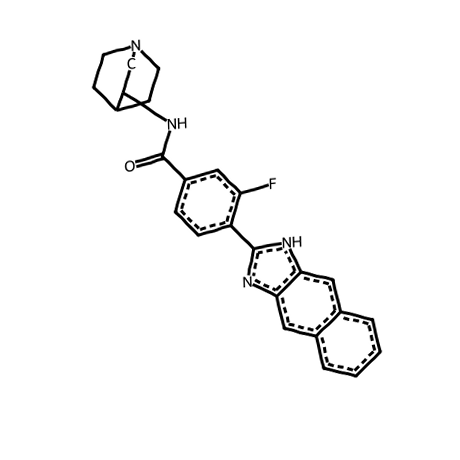 O=C(NC1CN2CCC1CC2)c1ccc(-c2nc3cc4ccccc4cc3[nH]2)c(F)c1